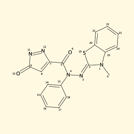 Cn1c(=NN(C(=O)C2=CC(=O)N=N2)c2ccccc2)sc2ccccc21